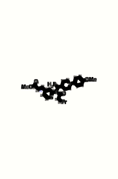 BC(C1CCN(c2ccc(OC)cc2)CC1)N(C(=O)CC(C)C)c1cc(/C=C/C(=O)OC)ccn1